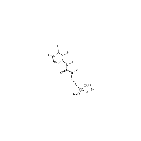 CO[Si](CCCN(F)C(=O)N(F)c1ccc(F)c(F)c1F)(OC)OC(C)C